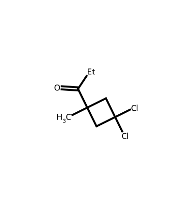 CCC(=O)C1(C)CC(Cl)(Cl)C1